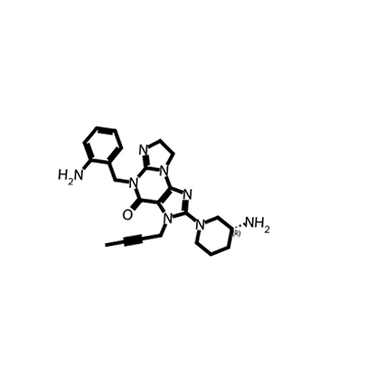 CC#CCn1c(N2CCC[C@@H](N)C2)nc2c1C(=O)N(Cc1ccccc1N)C1=NCCN12